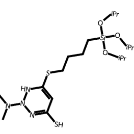 CC(C)O[Si](CCCCSC1=CC(S)=NN(N(C)C)N1)(OC(C)C)OC(C)C